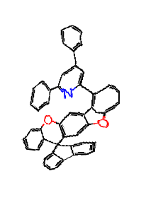 c1ccc(-c2cc(-c3ccccc3)nc(-c3cccc4oc5cc6c(cc5c34)Oc3ccccc3C63c4ccccc4-c4ccccc43)c2)cc1